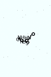 NC(=O)c1ccc(Oc2ccc(CNCCC3CCCCC3)c3ccsc23)nc1